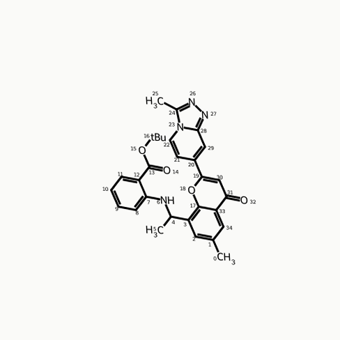 Cc1cc(C(C)Nc2ccccc2C(=O)OC(C)(C)C)c2oc(-c3ccn4c(C)nnc4c3)cc(=O)c2c1